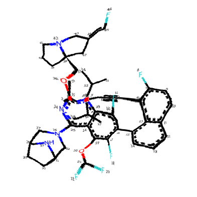 CC(C)[Si](C#Cc1c(F)ccc2cccc(-c3c(F)c(OC(F)F)c4c(N5CC6CCC(C5)N6)nc(OC[C@@]56CCCN5C/C(=C\F)C6)nc4c3F)c12)(C(C)C)C(C)C